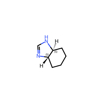 C1=N[C@H]2CCCC[C@@H]2N1